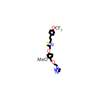 COc1cc(OCc2csc(/C=C/c3ccc(OC(F)(F)F)cc3)n2)ccc1COCCn1ccnn1